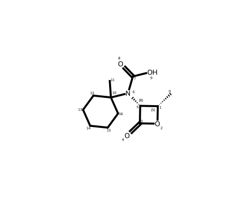 C[C@@H]1OC(=O)[C@@H]1N(C(=O)O)C1(C)CCCCC1